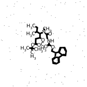 CCC(C)C(C(CC(=O)OC(C)(C)C)OC)N(C)C(=O)CNC(=O)OCC1c2ccccc2-c2ccccc21